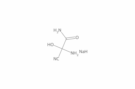 N#CC(N)(O)C(N)=O.[NaH]